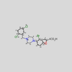 O=C(O)c1cc2c(Br)c(N3CCN(Cc4cc(Cl)ccc4Cl)CC3)ccc2o1